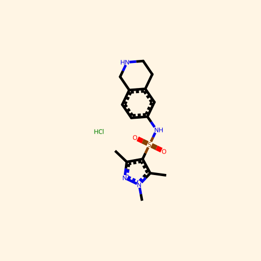 Cc1nn(C)c(C)c1S(=O)(=O)Nc1ccc2c(c1)CCNC2.Cl